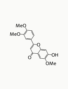 COc1cc2c(=O)cc(-c3ccc(OC)c(OC)c3)oc2cc1O